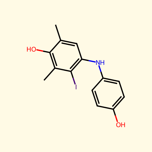 Cc1cc(Nc2ccc(O)cc2)c(I)c(C)c1O